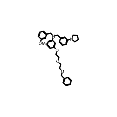 COc1cccc(CN(Cc2cccc(N3CCCC3)c2)c2cccc(OCCOCCOCc3ccccc3)c2)c1